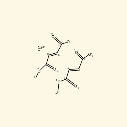 COC(=O)C=CC(=O)[O-].COC(=O)C=CC(=O)[O-].[Ca+2]